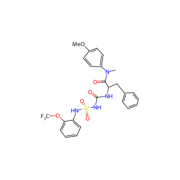 COc1ccc(N(C)C(=O)C(Cc2ccccc2)NC(=O)NS(=O)(=O)Nc2ccccc2OC(F)(F)F)cc1